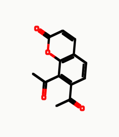 CC(=O)c1ccc2ccc(=O)oc2c1C(C)=O